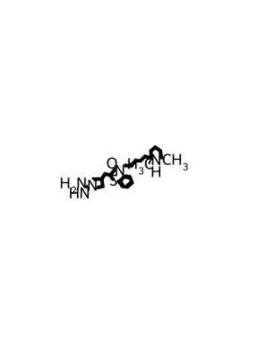 C[C@H]1CCC[C@@](C)(CCCCCN2C(=O)C(CC3CCN(C(=N)N)C3)Sc3ccccc32)N1